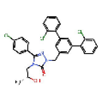 O=c1n(Cc2cc(-c3ccccc3Cl)cc(-c3ccccc3Cl)c2)nc(-c2ccc(Cl)cc2)n1C[C@H](O)C(F)(F)F